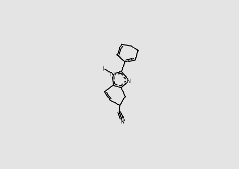 N#CC1C=Cc2c(nc(C3=CCCC=C3)n2I)C1